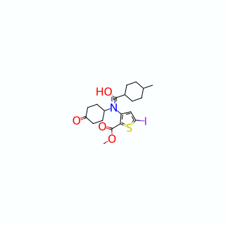 COC(=O)c1sc(I)cc1N(C1CCC(=O)CC1)[C@H](O)C1CCC(C)CC1